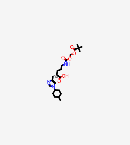 CC1CCC(n2cnc(C[C@H](CCCNC(=O)OCOC(=O)C(C)(C)C)C(=O)O)c2)CC1